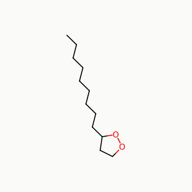 CCCCCCCCCC1CCOO1